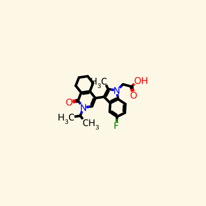 Cc1c(-c2cn(C(C)C)c(=O)c3c2CCCC3)c2cc(F)ccc2n1CC(=O)O